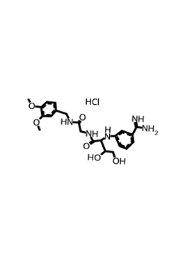 COc1ccc(CNC(=O)CNC(=O)C(Nc2cccc(C(=N)N)c2)C(O)CO)cc1OC.Cl